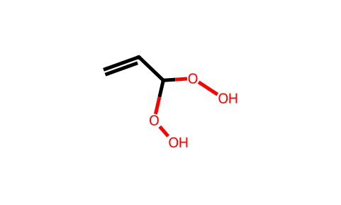 C=CC(OO)OO